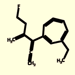 C=C=C(C(=C)CCF)C1=CC(CC)=CC=C=C1